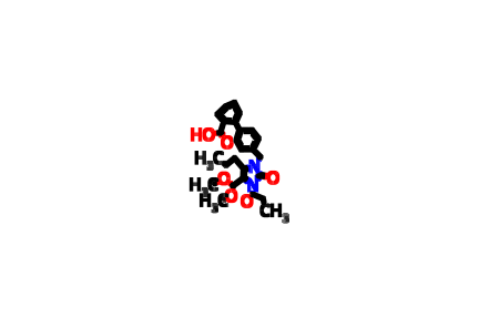 CCCc1c(C(OC)OC)n(C(=O)CC)c(=O)n1Cc1ccc(-c2ccccc2C(=O)O)cc1